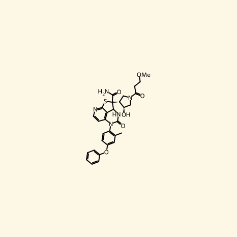 COCCC(=O)N1C[C@@H](O)[C@@H](C2(C(N)=O)Sc3nccc4c3C2NC(=O)N4c2ccc(Oc3ccccc3)cc2C)C1